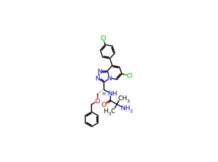 CC(C)(N)C(=O)N[C@H](COCc1ccccc1)c1nnc2c(-c3ccc(Cl)cc3)cc(Cl)cn12